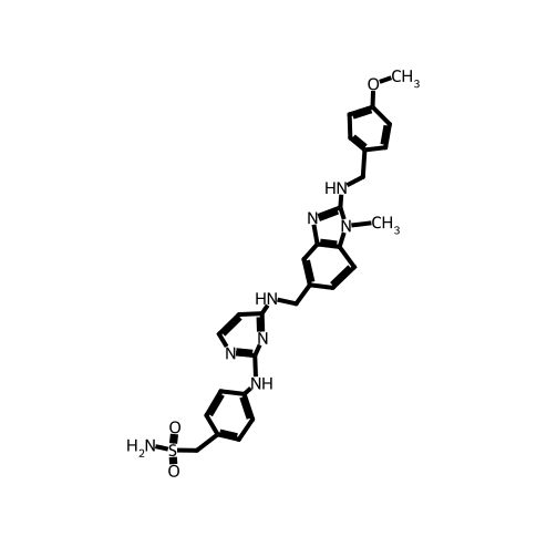 COc1ccc(CNc2nc3cc(CNc4ccnc(Nc5ccc(CS(N)(=O)=O)cc5)n4)ccc3n2C)cc1